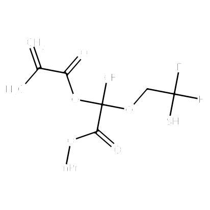 C=C(C)C(=O)OC(OCC(F)(F)S)(C(=O)OCCC)C(F)(F)F